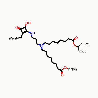 CCCCCCCCCOC(=O)CCCCCCCN(CCCCCCCC(=O)OC(CCCCCCCC)CCCCCCCC)CCCNC1=C(CC(C)CCC)C(=O)C1O